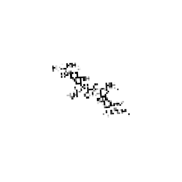 CC(N)[S+]([O-])c1ccc2[nH]c3c(c2c1)CC(N)CC3OC(=O)C(=O)OC1CC(N)Cc2c1[nH]c1ccc([S+]([O-])C(C)N)cc21